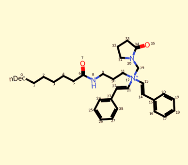 CCCCCCCCCCCCCCCC(=O)NCCC[N+](C=Cc1ccccc1)(C=Cc1ccccc1)CN1CCCC1=O